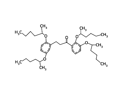 CCCCC(C)Oc1ccc(OC(C)CCCC)c(CCC(=O)c2cccc(OC(C)CCCC)c2OC(C)CCCC)c1